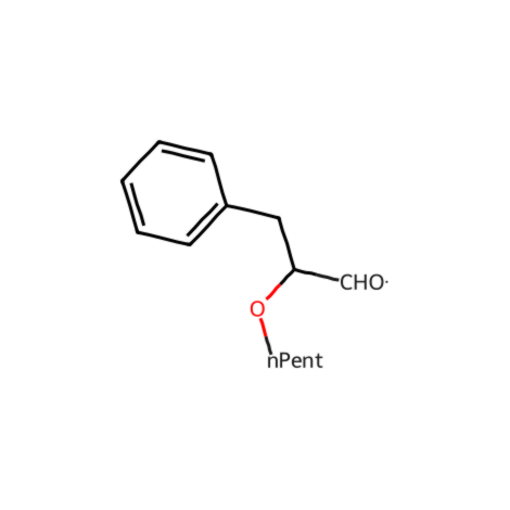 CCCCCOC([C]=O)Cc1ccccc1